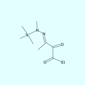 CCC(=O)C(=O)/C(C)=N/N(C)[Si](C)(C)C